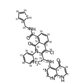 C[C@H](Nc1ncnc2[nH]ccc(=O)c12)c1c(Cl)c2cccc(C(=O)NCc3cccs3)c2c(=O)n1-c1ccccc1